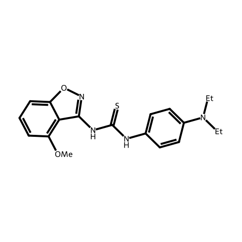 CCN(CC)c1ccc(NC(=S)Nc2noc3cccc(OC)c23)cc1